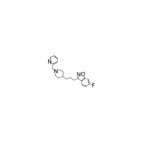 Fc1ccc2c(CCCC3CCN(Cc4ccccn4)CC3)noc2c1